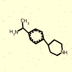 CC(N)c1ccc(C2CCNCC2)cc1